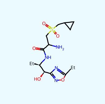 CCc1nc([C@@H](O)[C@@H](CC)NC(=O)C(N)CS(=O)(=O)CC2CC2)no1